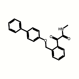 CNC(=O)C(=O)c1ccccc1COc1ccc(-c2ccccc2)cc1